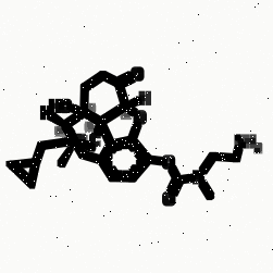 CN(CCN)C(=O)Oc1ccc2c3c1O[C@H]1C(=O)CC[C@@]4(O)[C@@H](C2)[N@@+](C)(CC2CC2)CC[C@]314